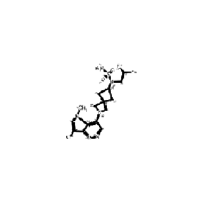 Cn1cc(Cl)c2nncc(N3CC4(CC(N(CC(F)F)S(N)(=O)=O)C4)C3)c21